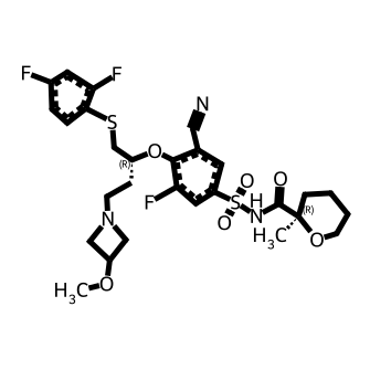 COC1CN(CC[C@H](CSc2ccc(F)cc2F)Oc2c(F)cc(S(=O)(=O)NC(=O)[C@@]3(C)CCCCO3)cc2C#N)C1